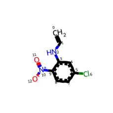 C=CNc1cc(Cl)ccc1[N+](=O)[O-]